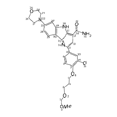 COCOCCCOc1ccc(-c2cc(C(N)=O)c3[nH]c4cc(N5CCOCC5)ccc4c3n2)cc1Cl